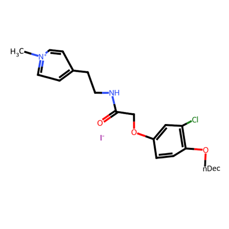 CCCCCCCCCCOc1ccc(OCC(=O)NCCc2cc[n+](C)cc2)cc1Cl.[I-]